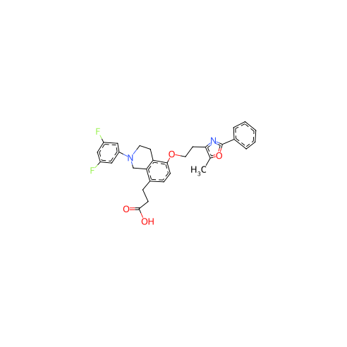 Cc1oc(-c2ccccc2)nc1CCOc1ccc(CCC(=O)O)c2c1CCN(c1cc(F)cc(F)c1)C2